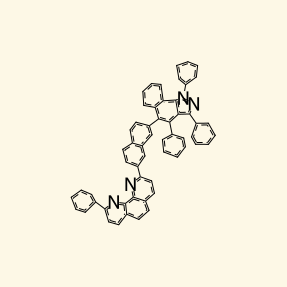 c1ccc(-c2ccc3ccc4ccc(-c5ccc6ccc(-c7c(-c8ccccc8)c8c(-c9ccccc9)nn(-c9ccccc9)c8c8ccccc78)cc6c5)nc4c3n2)cc1